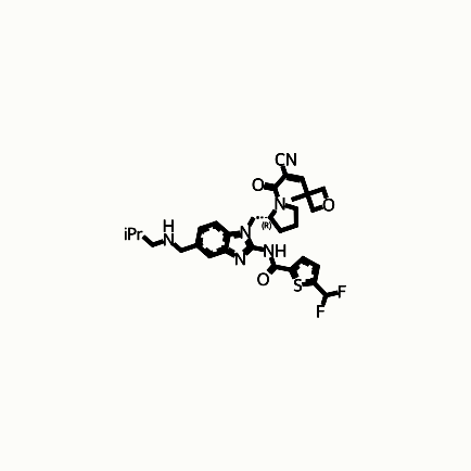 CC(C)CNCc1ccc2c(c1)nc(NC(=O)c1ccc(C(F)F)s1)n2C[C@H]1CCCN1C(=O)C(C#N)=CC1(C)COC1